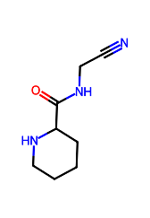 N#CCNC(=O)C1CCCCN1